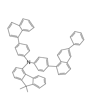 CC1(C)c2ccccc2-c2c(N(c3ccc(-c4cccc5ccccc45)cc3)c3ccc(-c4cccc5cc(-c6ccccc6)ccc45)cc3)cccc21